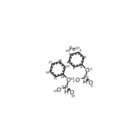 O=[PH]([O-])Oc1ccccc1.O=[PH]([O-])Oc1ccccc1.[Fe+2]